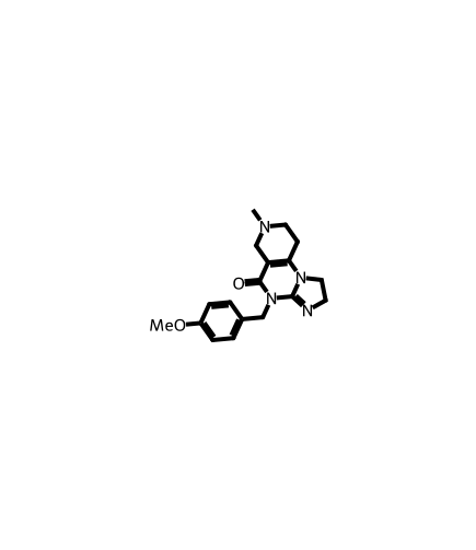 COc1ccc(CN2C(=O)C3=C(CCN(C)C3)N3CCN=C23)cc1